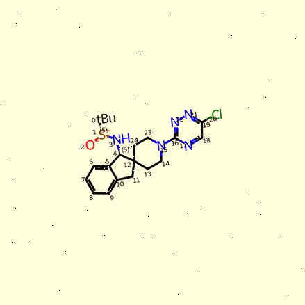 CC(C)(C)[S@@+]([O-])N[C@@H]1c2ccccc2CC12CCN(c1ncc(Cl)nn1)CC2